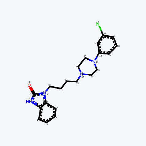 O=c1[nH]c2ccccc2n1CCCCN1CCN(c2cccc(Cl)c2)CC1